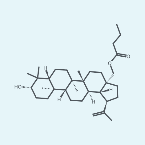 C=C(C)[C@@H]1CC[C@]2(COC(=O)CCC)CC[C@]3(C)[C@H](CC[C@@H]4[C@@]5(C)CC[C@H](O)C(C)(C)[C@@H]5CC[C@]43C)[C@@H]12